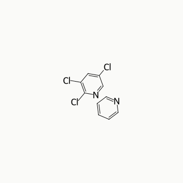 Clc1cnc(Cl)c(Cl)c1.c1ccncc1